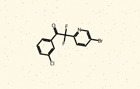 O=C(c1cccc(Cl)c1)C(F)(F)c1ccc(Br)cn1